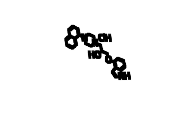 Cl.O[C@H](COc1cccc2[nH]ccc12)CN1CCN(c2cccc3ccccc23)CC1